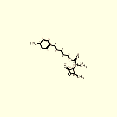 CC1C=CC(CCCCCOC(=O)N(C)C2C(=O)OC2C)=CC1